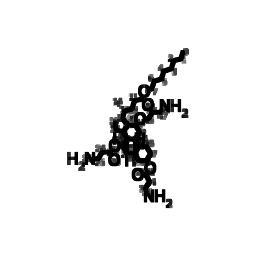 CCCCCCCCOC(=O)CC[C@@H](C)[C@H]1CC[C@H]2[C@@H]3[C@H](OC(=O)CCN)C[C@H]4C[C@H](OC(=O)CCN)CC[C@]4(C)[C@H]3C[C@H](OCCCN)[C@]12C